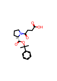 CC(C)(OC(=O)[C@@H]1CCCN1C(=O)CCC(=O)O)c1ccccc1